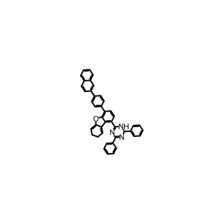 C1=c2oc3c(-c4ccc(-c5ccc6ccccc6c5)cc4)ccc(C4=NC(c5ccccc5)=NC(c5ccccc5)N4)c3c2=CCC1